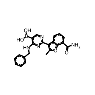 Cc1oc2c(C(N)=O)cccc2c1-c1ncc(B(O)O)c(NCc2ccccc2)n1